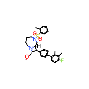 COC[C@@H]1C(c2ccc(-c3ccc(F)c(C)c3C)cc2)[C@@H]2CN(S(=O)(=O)c3ccccc3C)CCCCN12